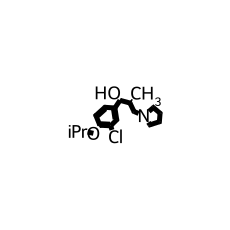 CC(C)Oc1ccc(C(O)[C@H](C)CN2CCCC2)cc1Cl